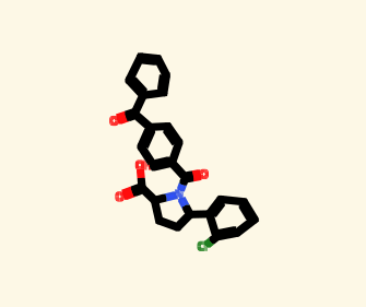 O=C(c1ccccc1)c1ccc(C(=O)N2C(C(=O)O)CCC2c2ccccc2Cl)cc1